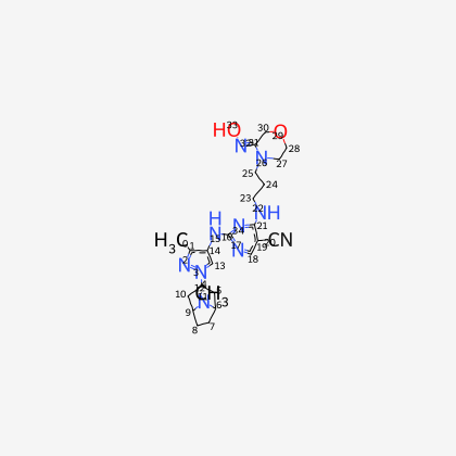 Cc1nn(C2CC3CCC(C2)N3C)cc1Nc1ncc(C#N)c(NCCCN2CCOCC2=NO)n1